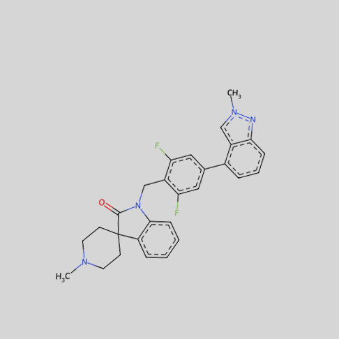 CN1CCC2(CC1)C(=O)N(Cc1c(F)cc(-c3cccc4nn(C)cc34)cc1F)c1ccccc12